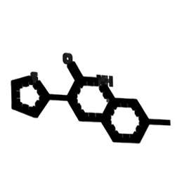 Cc1ccc2cc(-c3cccs3)c(=O)[nH]c2c1